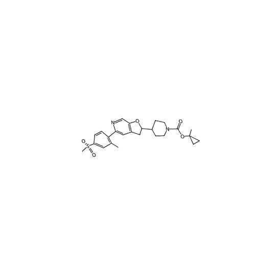 Cc1cc(S(C)(=O)=O)ccc1-c1cc2c(cn1)OC(C1CCN(C(=O)OC3(C)CC3)CC1)C2